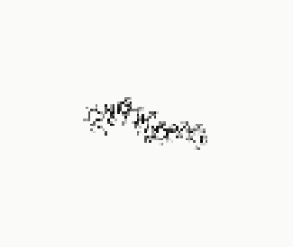 O=C(Nc1cccc(C(F)(F)F)c1)c1csc2c1CCN(C(=O)c1cnc3ccc(OCCN4CCOCC4)cn13)C2